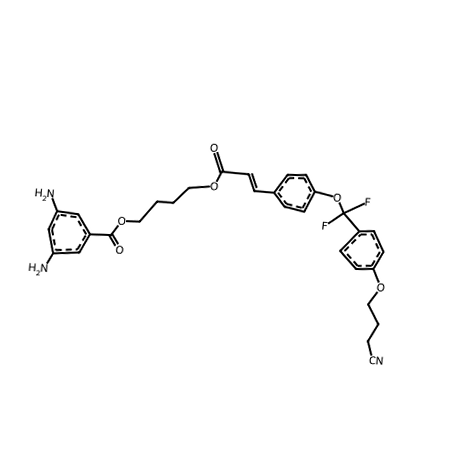 N#CCCCOc1ccc(C(F)(F)Oc2ccc(C=CC(=O)OCCCCOC(=O)c3cc(N)cc(N)c3)cc2)cc1